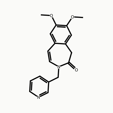 COc1cc2c(cc1OC)CC(=O)N(Cc1cccnc1)C=C2